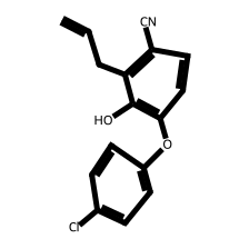 C=CCc1c(C#N)ccc(Oc2ccc(Cl)cc2)c1O